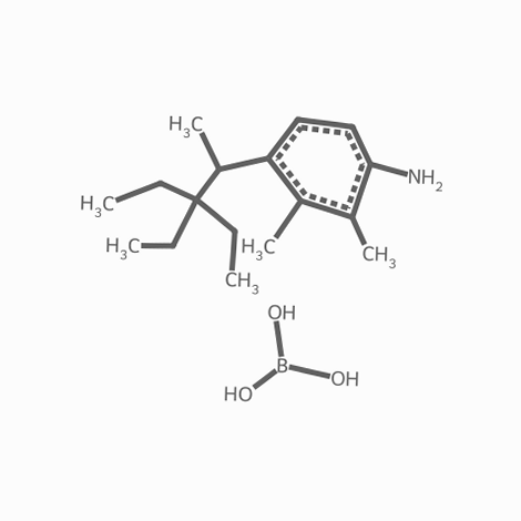 CCC(CC)(CC)C(C)c1ccc(N)c(C)c1C.OB(O)O